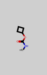 CCCNC(=O)OC1CCC1